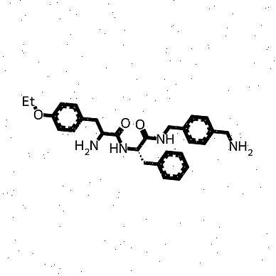 CCOc1ccc(CC(N)C(=O)N[C@@H](Cc2ccccc2)C(=O)NCc2ccc(CN)cc2)cc1